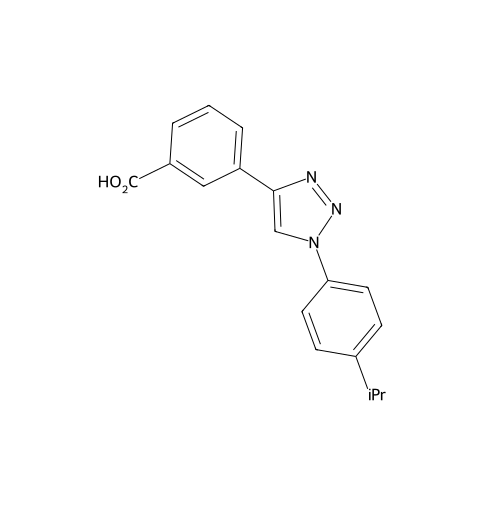 CC(C)c1ccc(-n2cc(-c3cccc(C(=O)O)c3)nn2)cc1